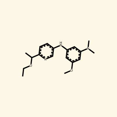 CCOC(C)c1ccc(Nc2cc(OC)cc(N(C)C)c2)cn1